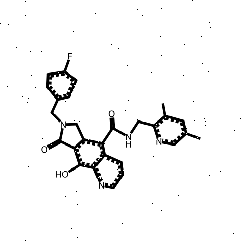 Cc1cnc(CNC(=O)c2c3c(c(O)c4ncccc24)C(=O)N(Cc2ccc(F)cc2)C3)c(C)c1